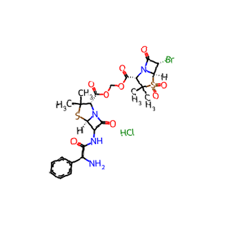 CC1(C)S[C@@H]2C(NC(=O)C(N)c3ccccc3)C(=O)N2[C@H]1C(=O)OCOC(=O)[C@@H]1N2C(=O)[C@H](Br)[C@H]2S(=O)(=O)C1(C)C.Cl